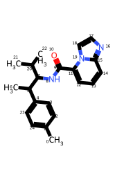 Cc1ccc(C(C)C(NC(=O)c2cccc3n[c]cn23)C(C)C)cc1